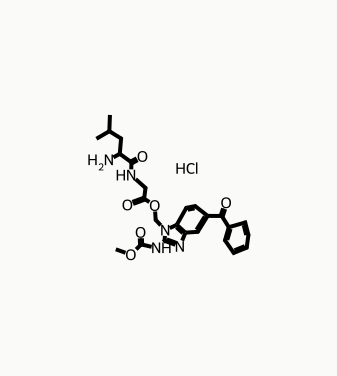 COC(=O)Nc1nc2cc(C(=O)c3ccccc3)ccc2n1COC(=O)CNC(=O)C(N)CC(C)C.Cl